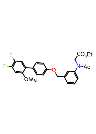 CCOC(=O)CN(C(C)=O)c1cccc(COc2ccc(-c3cc(F)c(F)cc3OC)cc2)c1